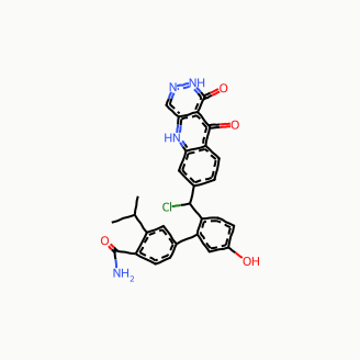 CC(C)c1cc(-c2cc(O)ccc2C(Cl)c2ccc3c(=O)c4c(=O)[nH]ncc4[nH]c3c2)ccc1C(N)=O